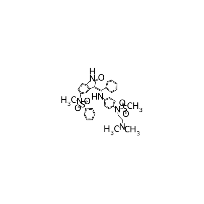 CN(C)CCN(c1ccc(NC(=C2C(=O)Nc3ccc(N(C)S(=O)(=O)c4ccccc4)cc32)c2ccccc2)cc1)S(C)(=O)=O